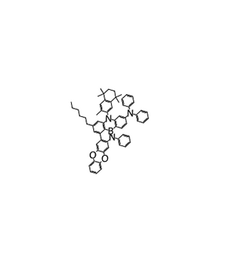 CCCCCCc1cc2c3c(c1)N(c1cc4c(cc1C)C(C)(C)CCC4(C)C)c1cc(N(c4ccccc4)c4ccccc4)ccc1B3N(c1ccccc1)c1cc3c(cc1-2)Oc1ccccc1O3